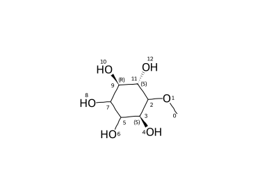 COC1[C@@H](O)C(O)C(O)[C@@H](O)[C@@H]1O